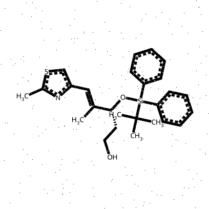 CC(=Cc1csc(C)n1)[C@@H](CCO)O[Si](c1ccccc1)(c1ccccc1)C(C)(C)C